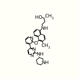 Cc1ccc2c(NCC[C@@H](C)O)cccc2c1Oc1ncccc1-c1ccnc(N[C@H]2CCCNC2)n1